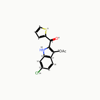 CC(=O)Oc1c(C(=O)c2cccs2)[nH]c2cc(Cl)ccc12